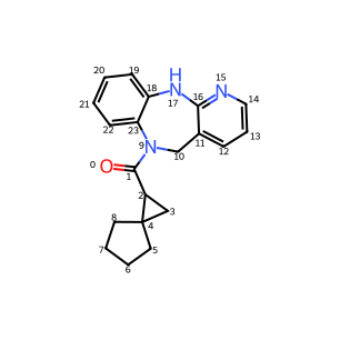 O=C(C1CC12CCCC2)N1Cc2cccnc2Nc2ccccc21